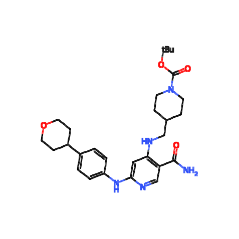 CC(C)(C)OC(=O)N1CCC(CNc2cc(Nc3ccc(C4CCOCC4)cc3)ncc2C(N)=O)CC1